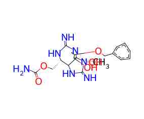 C[C@]1(O)C(OCc2ccccc2)CN2C(=N)N[C@@H](COC(N)=O)C3NC(=N)N(O)C321